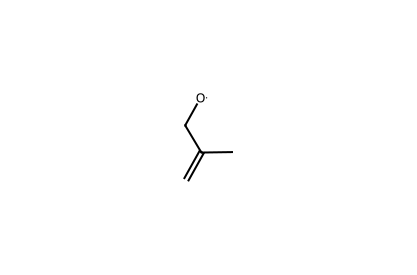 C=C(C)C[O]